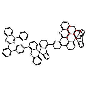 c1ccc(-c2nc(-c3ccccc3-c3ccc(-c4cccc5c4Oc4ccccc4C54c5ccccc5-c5c(-c6ccc(-c7cccc8c7Oc7ccccc7C87c8ccccc8-c8ccccc87)c(-c7nc(-c8ccccc8)c8ccccc8n7)c6)cccc54)cc3)nc3ccccc23)cc1